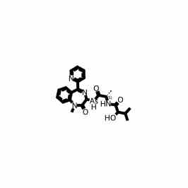 CC(C)C(O)C(=O)N[C@@H](C)C(=O)[AsH]C1N=C(c2ccccn2)c2ccccc2N(C)C1=O